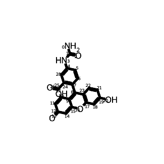 NC(=O)Nc1ccc(-c2c3ccc(=O)cc-3oc3cc(O)ccc23)c(C(=O)O)c1